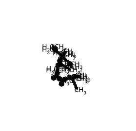 C=Cc1c(C)cc(CCCOc2cc(C(C)(C)C(C)(C)C)c(OCCCc3cc(C)c(C=C)c(C)c3)cc2-c2ccc3c(c2)C(C)(CCCCCCCC)c2cc(C(C)(C)C(C)(C)c4ccc(N(c5ccccc5)c5ccc(N(c6ccccc6)c6ccc(-c7ccc8c(c7)C(C)(CCCCCCCC)c7cc(C(C)(C)C(C)(C)C)ccc7-8)cc6)cc5)cc4)ccc2-3)cc1C